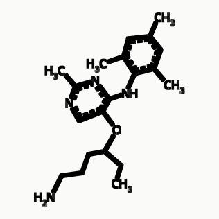 CCC(CCCN)Oc1cnc(C)nc1Nc1c(C)cc(C)cc1C